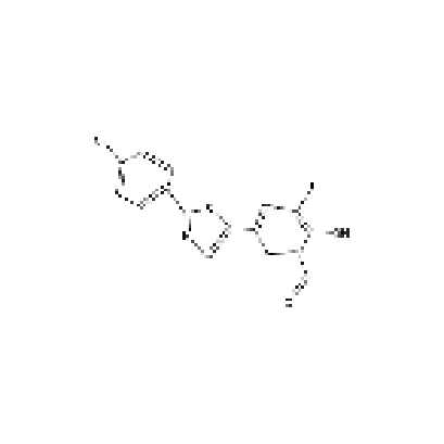 O=Cc1cc(-c2cnc(-c3ccc(Cl)cc3)s2)cc(F)c1O